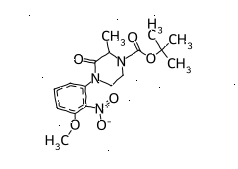 COc1cccc(N2CCN(C(=O)OC(C)(C)C)C(C)C2=O)c1[N+](=O)[O-]